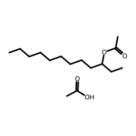 CC(=O)O.CCCCCCCCCC(CC)OC(C)=O